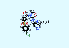 CN1CCC(C#N)(NC(=O)O)CC1.Cc1cc(Cl)ccc1S(=O)(=O)[C@@H]1CC[C@@H](C(=O)N2CCOCC2)C1